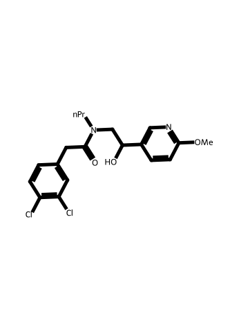 CCCN(CC(O)c1ccc(OC)nc1)C(=O)Cc1ccc(Cl)c(Cl)c1